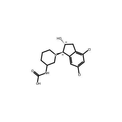 O=C(O)NC1CCCN([C@@H]2c3cc(Cl)cc(Cl)c3C[C@H]2O)C1